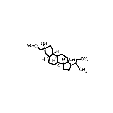 COC[C@@]1(O)CC[C@H]2[C@@H](CC[C@@H]3[C@@H]2CC[C@]2(C)[C@@H](C(C)CO)CC[C@@H]32)C1